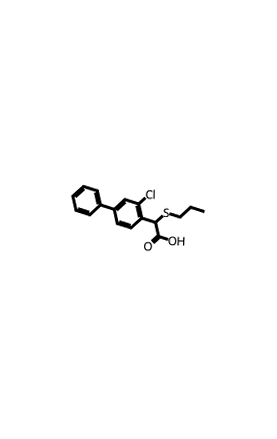 CCCSC(C(=O)O)c1ccc(-c2ccccc2)cc1Cl